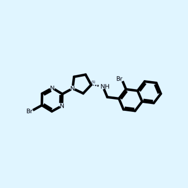 Brc1cnc(N2CC[C@H](NCc3ccc4ccccc4c3Br)C2)nc1